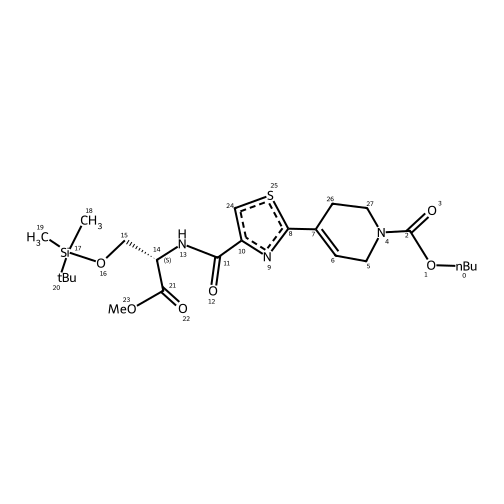 CCCCOC(=O)N1CC=C(c2nc(C(=O)N[C@@H](CO[Si](C)(C)C(C)(C)C)C(=O)OC)cs2)CC1